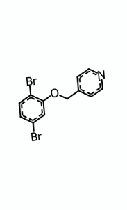 Brc1ccc(Br)c(OCc2ccncc2)c1